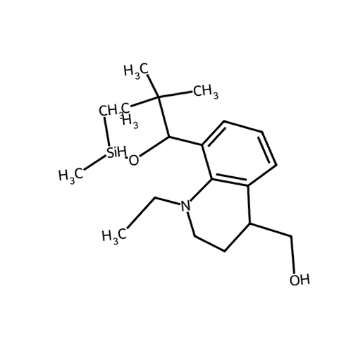 CCN1CCC(CO)c2cccc(C(O[SiH](C)C)C(C)(C)C)c21